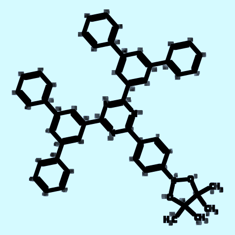 CC1(C)OB(c2ccc(-c3nc(-c4cc(-c5ccccc5)cc(-c5ccccc5)c4)nc(-c4cc(-c5ccccc5)cc(-c5ccccc5)c4)n3)cc2)OC1(C)C